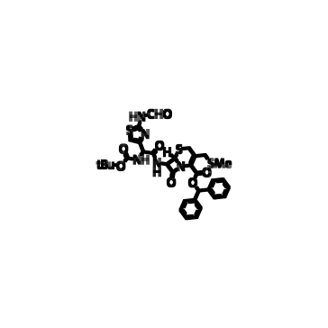 CSCC1=C(C(=O)OC(c2ccccc2)c2ccccc2)N2C(=O)C(NC(=O)C(NC(=O)OC(C)(C)C)c3csc(NC=O)n3)[C@@H]2SC1